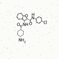 N[C@H]1CC[C@H](C(=O)Nc2c(C(=O)Nc3ccc(Cl)cc3)oc3ccccc23)CC1